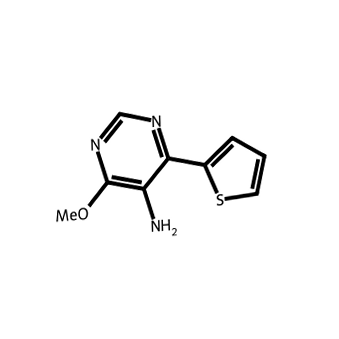 COc1ncnc(-c2cccs2)c1N